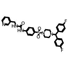 O=C(NCc1cccnc1)Nc1ccc(S(=O)(=O)N2CCN(C(c3ccc(F)cc3)c3ccc(F)cc3)CC2)cc1